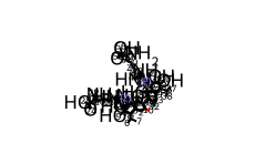 Cc1cc2c(C(C)C)c(O)c(O)c(/C=N\C(=N)NCCC[C@H](N)C(=O)O)c2c(O)c1-c1c(C)cc2c(C(C)C)c(O)c(O)c(/C=N/C(=N)NCCC[C@H](N)C(=O)O)c2c1O